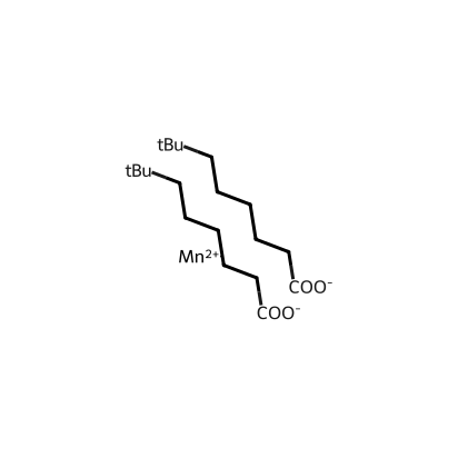 CC(C)(C)CCCCCC(=O)[O-].CC(C)(C)CCCCCC(=O)[O-].[Mn+2]